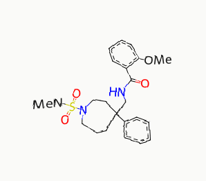 CNS(=O)(=O)N1CCCC(CNC(=O)c2ccccc2OC)(c2ccccc2)CC1